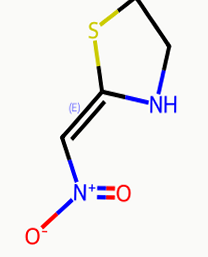 O=[N+]([O-])/C=C1\NCCS1